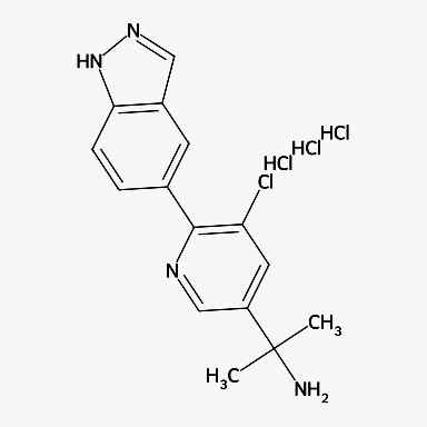 CC(C)(N)c1cnc(-c2ccc3[nH]ncc3c2)c(Cl)c1.Cl.Cl.Cl